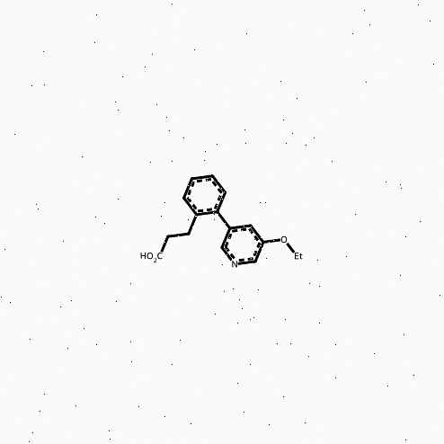 CCOc1cncc(-c2ccccc2CCC(=O)O)c1